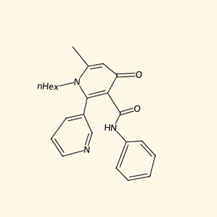 CCCCCCn1c(C)cc(=O)c(C(=O)Nc2ccccc2)c1-c1cccnc1